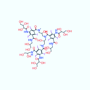 CN(CC(O)CN(CC(O)CN(C)C(=O)c1c(I)c(NC(=O)C(O)C(O)CO)c(I)c(C(=O)NCC(O)CO)c1I)C(=O)c1c(I)c(NC(=O)C(O)C(O)CO)c(I)c(C(=O)NCC(O)CO)c1I)C(=O)c1c(I)c(NC(=O)C(O)C(O)CO)c(I)c(C(=O)NCC(O)CO)c1I